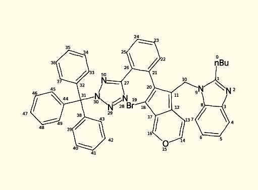 CCCCc1nc2ccccc2n1Cc1c2ccocc-2c(Br)c1-c1ccccc1-c1nnn(C(c2ccccc2)(c2ccccc2)c2ccccc2)n1